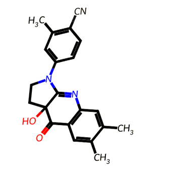 Cc1cc2c(cc1C)C(=O)C1(O)CCN(c3ccc(C#N)c(C)c3)C1=N2